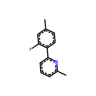 Cc1ccc(-c2cccc(C)n2)c(F)c1